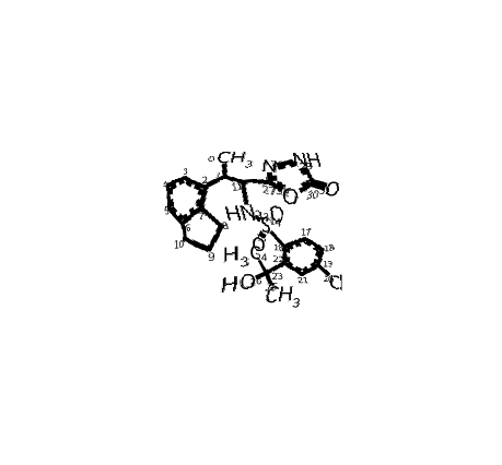 CC(c1cccc2c1CCC2)C(NS(=O)(=O)c1ccc(Cl)cc1C(C)(C)O)c1n[nH]c(=O)o1